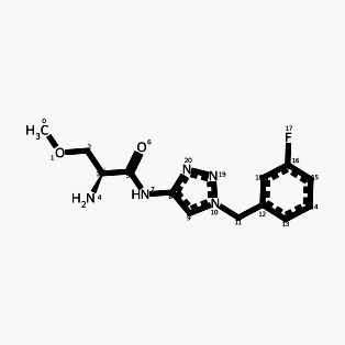 COC[C@H](N)C(=O)Nc1cn(Cc2cccc(F)c2)nn1